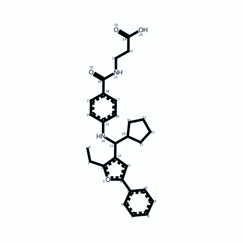 CCc1oc(-c2ccccc2)cc1C(Nc1ccc(C(=O)NCCC(=O)O)cc1)C1CCCC1